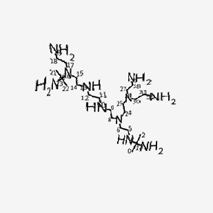 CC(C)(N)NCCN(CCNCCNCCN(CCN)C(C)(C)N)CCN(CCN)CCN